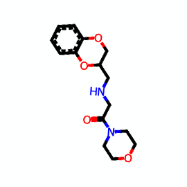 O=C(CNCC1COc2ccccc2O1)N1CCOCC1